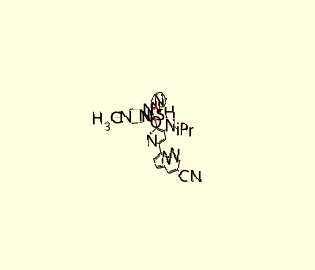 CC(C)Nc1cc(-c2ccc3cc(C#N)cnn23)ncc1-c1nnc(N2C3CC2CN(C(=O)N2CCN(C)CC2)C3)s1